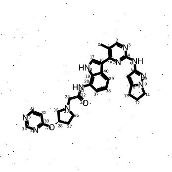 Cc1cnc(Nc2cc3n(n2)CCC3)nc1-c1c[nH]c2c(NC(=O)CN3CC[C@H](Oc4ccncn4)C3)cccc12